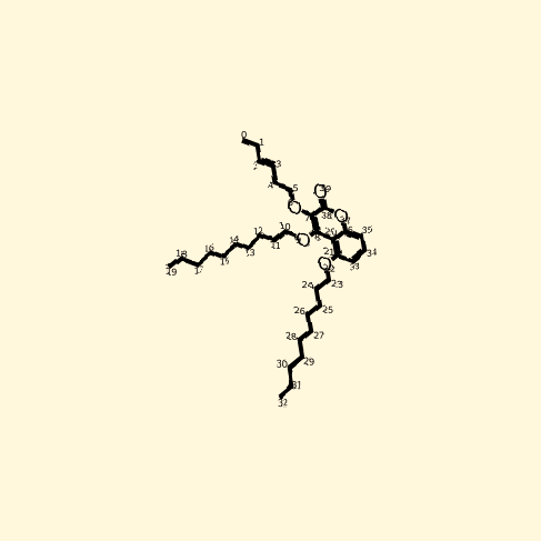 CCC=CCCOc1c(OCCCCCCCCCC)c2c(OCCCCCCCCCC)cccc2oc1=O